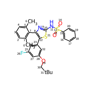 Cc1cccc(C)c1-c1nc(NS(=O)(=O)c2ccccc2)sc1-c1cc(F)cc(OCC(C)(C)C)c1